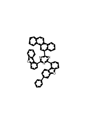 c1ccc(-c2ccc3c(c2)oc2cccc(-c4nc(-c5cc6c7ccccc7ccc6c6ccccc56)nc(-c5cccc6oc7ccccc7c56)n4)c23)cc1